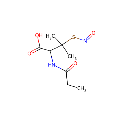 CCC(=O)NC(C(=O)O)C(C)(C)SN=O